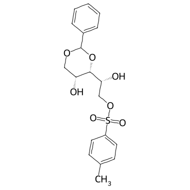 Cc1ccc(S(=O)(=O)OC[C@@H](O)[C@H]2OC(c3ccccc3)OC[C@H]2O)cc1